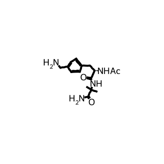 CC(=O)N[C@@H](Cc1ccc(CN)cc1)C(=O)NC(C)(C)C(N)=O